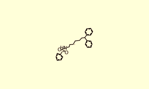 O=S(=O)(NCC[CH]CCCC(c1ccccc1)c1ccccc1)c1ccccc1